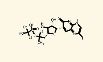 CCC(C)(C[C@H]1O[C@@H](c2cc3nc(F)c[nH]c-3nc2=S)[C@@H](O)C1O)OP(=O)(O)C(O)(CC)CC